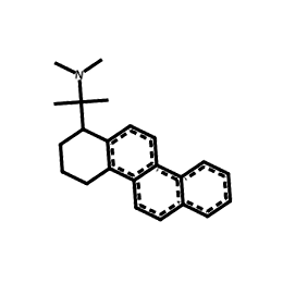 CN(C)C(C)(C)C1CCCc2c1ccc1c2ccc2ccccc21